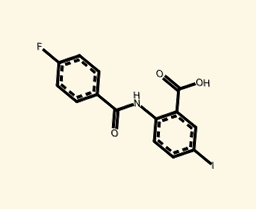 O=C(Nc1ccc(I)cc1C(=O)O)c1ccc(F)cc1